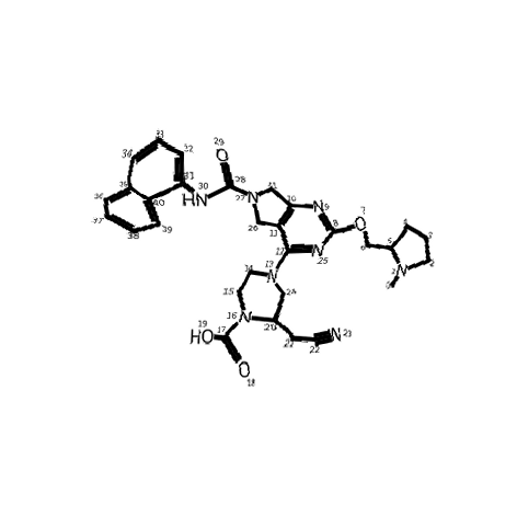 CN1CCCC1COc1nc2c(c(N3CCN(C(=O)O)C(CC#N)C3)n1)CN(C(=O)Nc1cccc3ccccc13)C2